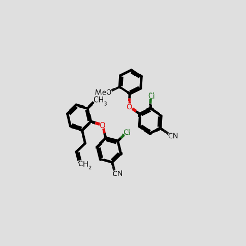 C=CCc1cccc(C)c1Oc1ccc(C#N)cc1Cl.COc1ccccc1Oc1ccc(C#N)cc1Cl